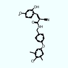 COc1ccc(/C=C(/C#N)C(=O)NCc2ccc(Oc3cc(C)c(Cl)c(C)c3)cc2)c(O)c1